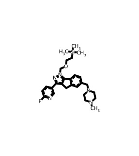 CN1CCN(Cc2ccc3c(c2)Cc2c(-c4ccc(F)nc4)nn(COCC[Si](C)(C)C)c2-3)CC1